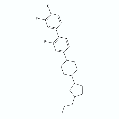 CCCC1CCC(C2CCC(c3ccc(-c4ccc(F)c(F)c4)c(F)c3)CC2)C1